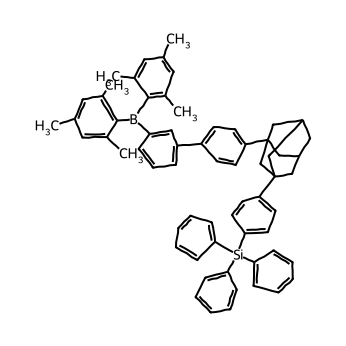 Cc1cc(C)c(B(c2cccc(-c3ccc(C45CC6CC(C4)CC(c4ccc([Si](c7ccccc7)(c7ccccc7)c7ccccc7)cc4)(C6)C5)cc3)c2)c2c(C)cc(C)cc2C)c(C)c1